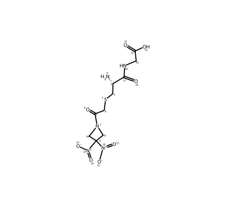 N[C@@H](CSCC(=O)N1CC([N+](=O)[O-])([N+](=O)[O-])C1)C(=O)NCC(=O)O